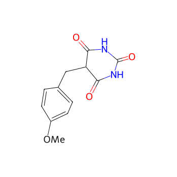 COc1ccc(CC2C(=O)NC(=O)NC2=O)cc1